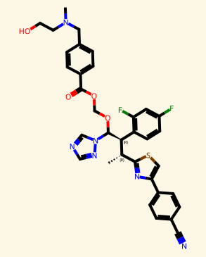 C[C@@H](c1nc(-c2ccc(C#N)cc2)cs1)[C@H](c1ccc(F)cc1F)C(OCOC(=O)c1ccc(CN(C)CCO)cc1)n1cncn1